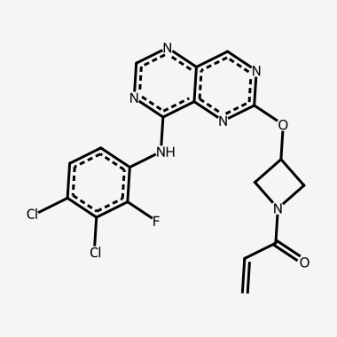 C=CC(=O)N1CC(Oc2ncc3ncnc(Nc4ccc(Cl)c(Cl)c4F)c3n2)C1